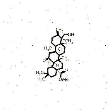 C=C1CC[C@]2(C)C3=CC(=O)[C@@H]4[C@@H]5CC(C)(C)CC[C@]5(C(=O)OC)CC[C@@]4(C)[C@]3(C)CC[C@H]2[C@@]1(C)CO